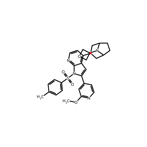 COc1cc(-c2cc3c(N4CC5CCC(C4)N5C4COC4)ccnc3n2S(=O)(=O)c2ccc(C)cc2)ccn1